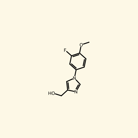 COc1ccc(-n2cnc(CO)c2)cc1F